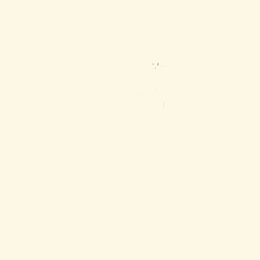 COC(=O)C(Cc1ccc(OCc2ccccc2)cc1)O[Si](C)(C)C(C)(C)C